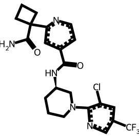 NC(=O)C1(c2cc(C(=O)N[C@@H]3CCCN(c4ncc(C(F)(F)F)cc4Cl)C3)ccn2)CCC1